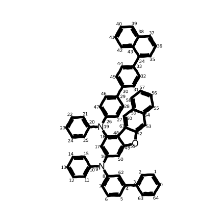 c1ccc(-c2cccc(N(c3ccccc3)c3cc(N(c4ccccc4)c4ccc(-c5ccc(-c6cccc7ccccc67)cc5)cc4)c4c(c3)oc3cc5ccccc5cc34)c2)cc1